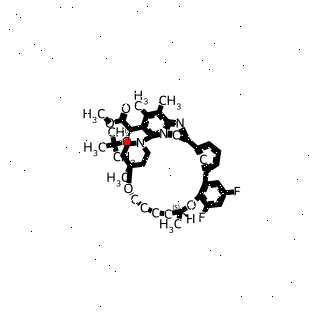 COC(=O)[C@@H](OC(C)(C)C)c1c(C)c(C)c2nc3cn2c1N1CCC(C)(CC1)OCCCC[C@H](C)Oc1c(F)cc(F)cc1-c1cccc-3c1